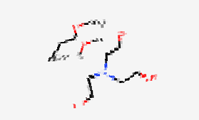 CCCCCCCCCCCCOS(=O)(=O)O.CCOCC.OCCN(CCO)CCO